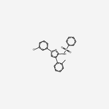 Cc1ccccc1-c1cn(-c2cccc(Cl)c2)nc1NS(=O)(=O)c1ccccc1